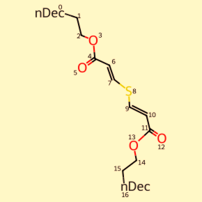 CCCCCCCCCCCCOC(=O)C=CSC=CC(=O)OCCCCCCCCCCCC